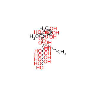 CCCCCCCC(O)(O)C(CC(O)C(O)C(O)C(O)C(O)C(O)C(O)C(O)CO)C(=O)O[C@@H]1O[C@@H](C)[C@H](O)[C@@H](O)[C@H]1O[C@@H]1O[C@@H](C)[C@H](O)[C@@H](O)[C@H]1O